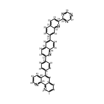 c1cnc2c(c1)cc(-c1ccc(-c3ccc4cc(-c5ccc6ccc(-c7ncncn7)nc6c5)ccc4n3)cc1)c1cccnc12